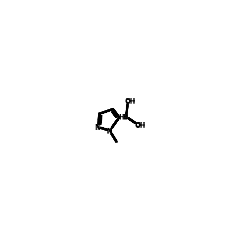 Cn1cccn1.OBO